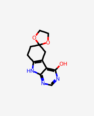 Oc1ncnc2[nH]c3c(c12)CC1(CC3)OCCO1